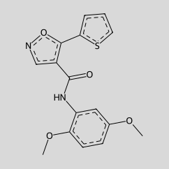 COc1ccc(OC)c(NC(=O)c2cnoc2-c2cccs2)c1